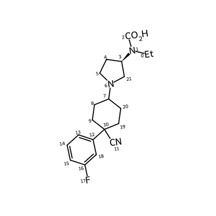 CCN(C(=O)O)[C@@H]1CCN(C2CCC(C#N)(c3cccc(F)c3)CC2)C1